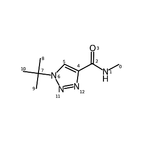 CNC(=O)c1cn(C(C)(C)C)nn1